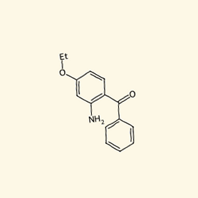 CCOc1ccc(C(=O)c2ccccc2)c(N)c1